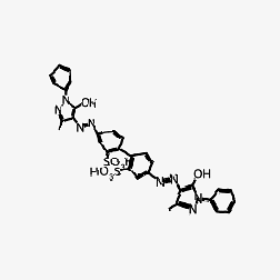 Cc1nn(-c2ccccc2)c(O)c1/N=N/c1ccc(-c2ccc(/N=N/c3c(C)nn(-c4ccccc4)c3O)cc2S(=O)(=O)O)c(S(=O)(=O)O)c1